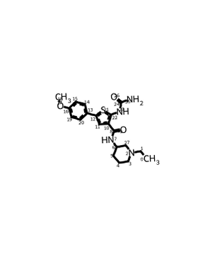 CCN1CCCC(NC(=O)c2cc(-c3ccc(OC)cc3)sc2NC(N)=O)C1